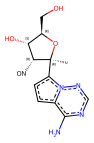 C[C@@]1(c2ccc3c(N)ncnn23)O[C@H](CO)[C@@H](O)[C@H]1N=O